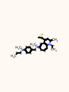 C=C1C=C(C2CS2)C2=C(C=CCC(N(C)Cc3ccc(N(C)CCC)cc3)=C2)N1CC